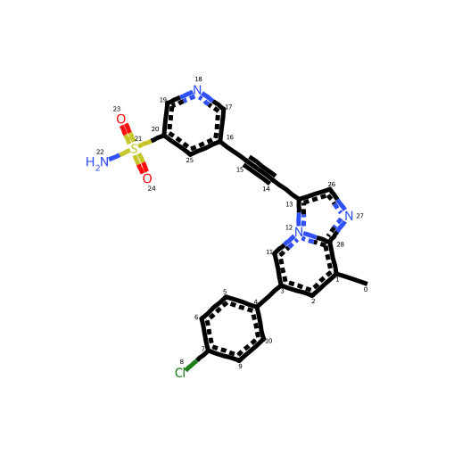 Cc1cc(-c2ccc(Cl)cc2)cn2c(C#Cc3cncc(S(N)(=O)=O)c3)cnc12